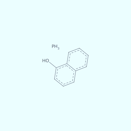 Oc1cccc2ccccc12.P